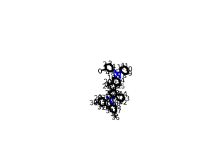 Cc1cccc(N(c2ccccc2)c2ccc3c(c2)C(C)(C)c2cc(-n4c5ccc(C)cc5c5cc(C)ccc54)c4ccccc4c2-3)c1